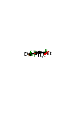 CCOc1cc(C)c(CCCCc2ccc(-c3cc(F)c(C#Cc4c(F)cc(SCC)cc4F)c(F)c3)cc2)cc1F